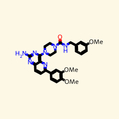 COc1cccc(CNC(=O)N2CCN(c3nc(N)nc4ccc(-c5ccc(OC)c(OC)c5)nc34)CC2)c1